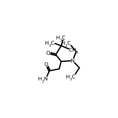 CCN(CC)C(CC(N)=O)C(=O)C(C)(C)C